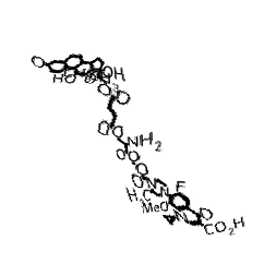 COc1c(N2CCN(C(=O)OCOC(=O)C(N)COC(=O)CCC(=O)OCC(=O)[C@@]3(O)CCC4C5CCC6=CC(=O)C=C[C@]6(C)C5[C@@H](O)C[C@@]43C)C(C)C2)c(F)cc2c(=O)c(C(=O)O)cn(C3CC3)c12